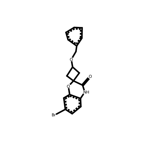 O=C1Nc2ccc(Br)cc2OC12CC(OCc1ccccc1)C2